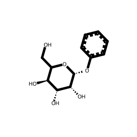 OCC1O[C@H](Oc2ccccc2)[C@H](O)[C@H](O)[C@H]1O